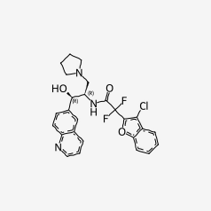 O=C(N[C@H](CN1CCCC1)[C@H](O)c1ccc2ncccc2c1)C(F)(F)c1oc2ccccc2c1Cl